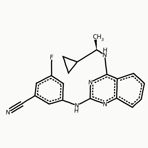 C[C@@H](Nc1nc(Nc2cc(F)cc(C#N)c2)nc2ccccc12)C1CC1